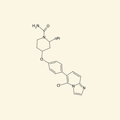 CCCC1CC(Oc2ccc(-c3ccc4nccn4c3Cl)cc2)CCN1C(N)=O